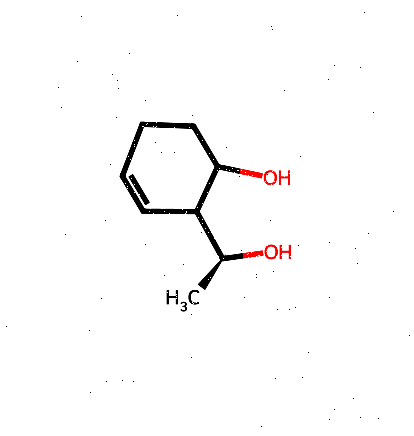 C[C@H](O)C1C=CCCC1O